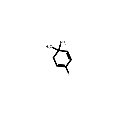 CC1(N)C=CC(F)=CC1